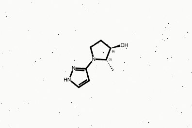 C[C@H]1[C@H](O)CCN1c1cc[nH]n1